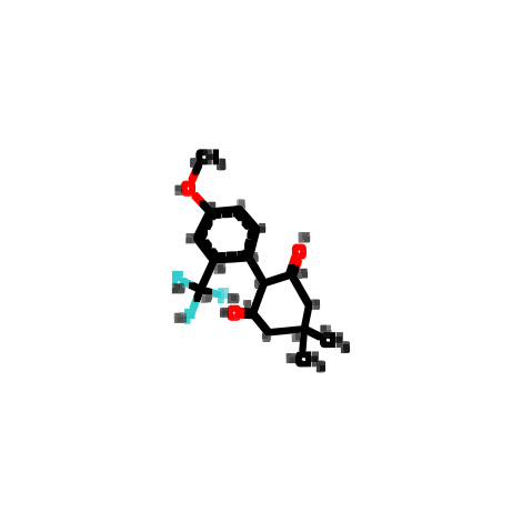 COc1ccc(C2C(=O)CC(C)(C)CC2=O)c(C(F)(F)F)c1